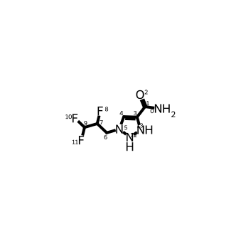 NC(=O)C1=CN(CC(F)C(F)F)NN1